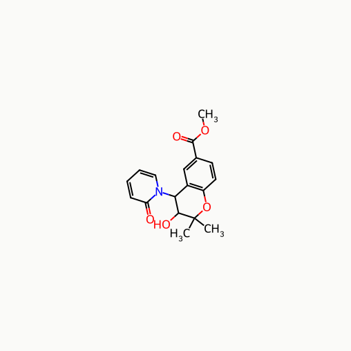 COC(=O)c1ccc2c(c1)C(n1ccccc1=O)C(O)C(C)(C)O2